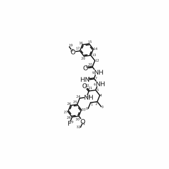 CCC(C)CC(NC(=N)NC(=O)Cc1cccc(OC)c1)C(=O)NCc1ccc(F)c(OC)c1